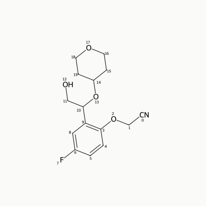 N#CCOc1ccc(F)cc1C(CO)OC1CCOCC1